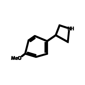 COc1ccc(C2CNC2)cc1